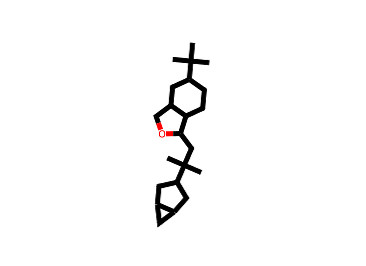 CC(C)(C)C1CCC2C(COC2CC(C)(C)C2CC3CC3C2)C1